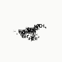 COc1ccc(-n2nc(C)c(C)c2Nc2ccnc(Nc3ccc(OC)c(OC)c3)n2)cn1.O=C(O)C(F)(F)F